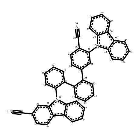 N#Cc1ccc2c3ccccc3n(-c3ccccc3-c3ccccc3-c3ccc(C#N)c(-n4c5ccccc5c5ccccc54)c3)c2c1